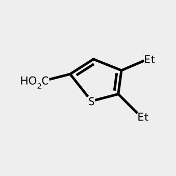 CCc1cc(C(=O)O)sc1CC